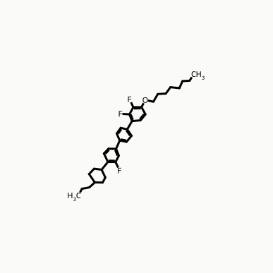 CCCCCCCCOc1ccc(-c2ccc(-c3ccc(C4CCC(CCC)CC4)c(F)c3)cc2)c(F)c1F